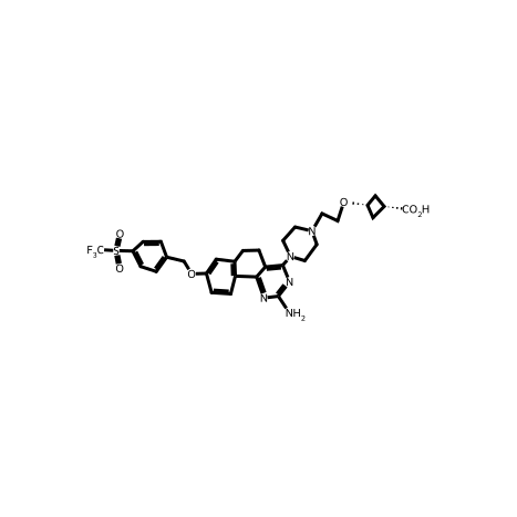 Nc1nc2c(c(N3CCN(CCO[C@H]4C[C@@H](C(=O)O)C4)CC3)n1)CCc1cc(OCc3ccc(S(=O)(=O)C(F)(F)F)cc3)ccc1-2